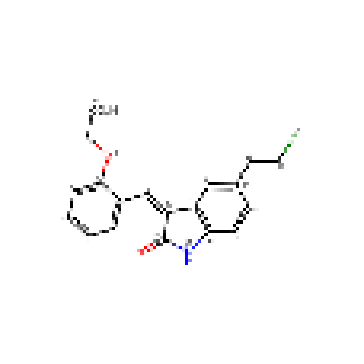 O=C(O)COc1ccccc1C=C1C(=O)Nc2ccc(CCCl)cc21